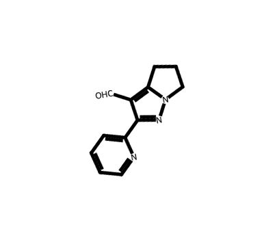 O=Cc1c(-c2ccccn2)nn2c1CCC2